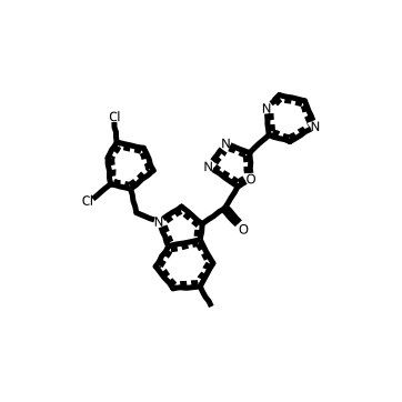 Cc1ccc2c(c1)c(C(=O)c1nnc(-c3cnccn3)o1)cn2Cc1ccc(Cl)cc1Cl